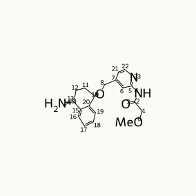 COCC(=O)Nc1cc(COC2CC[C@H](N)c3ccccc32)ccn1